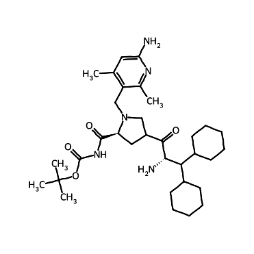 Cc1cc(N)nc(C)c1CN1CC(C(=O)[C@@H](N)C(C2CCCCC2)C2CCCCC2)C[C@H]1C(=O)NC(=O)OC(C)(C)C